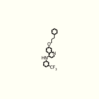 FC(F)(F)c1cccc(Nc2ccnc3cc(OCCCc4ccccc4)ccc23)c1